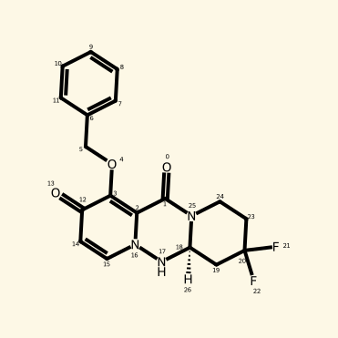 O=C1c2c(OCc3ccccc3)c(=O)ccn2N[C@@H]2CC(F)(F)CCN12